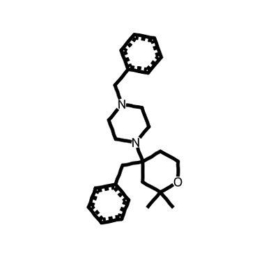 CC1(C)CC(Cc2ccccc2)(N2CCN(Cc3ccccc3)CC2)CCO1